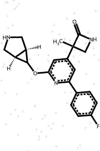 CC1(c2cc(OC3[C@H]4CNC[C@@H]34)nc(-c3ccc(F)cc3)c2)CNC1=O